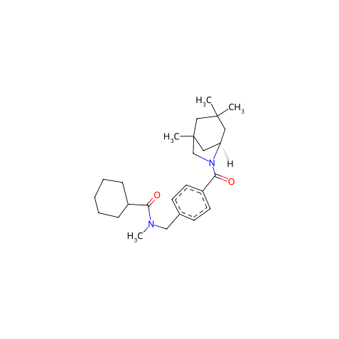 CN(Cc1ccc(C(=O)N2CC3(C)C[C@H]2CC(C)(C)C3)cc1)C(=O)C1CCCCC1